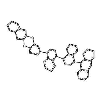 c1ccc2cc3c(cc2c1)Oc1ccc(-c2ccc(-c4ccc(-c5c6ccccc6cc6ccccc56)c5ccccc45)c4ccccc24)cc1O3